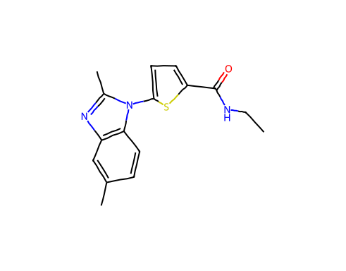 CCNC(=O)c1ccc(-n2c(C)nc3cc(C)ccc32)s1